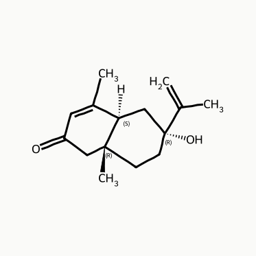 C=C(C)[C@@]1(O)CC[C@]2(C)CC(=O)C=C(C)[C@H]2C1